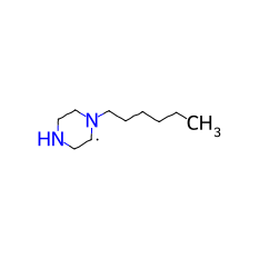 CCCCCCN1[CH]CNCC1